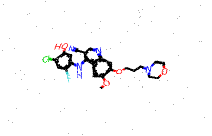 COc1cc2c(Nc3cc(O)c(Cl)cc3F)c(C#N)cnc2cc1OCCCN1CCOCC1